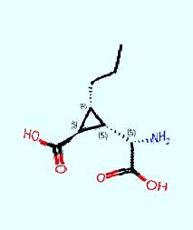 CCC[C@H]1[C@H](C(=O)O)[C@H]1[C@H](N)C(=O)O